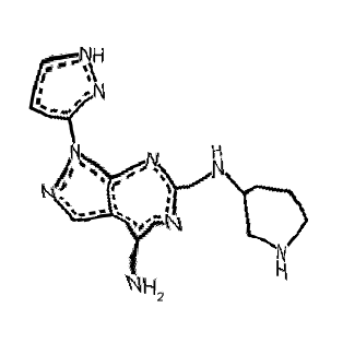 Nc1nc(NC2CCNC2)nc2c1cnn2-c1cc[nH]n1